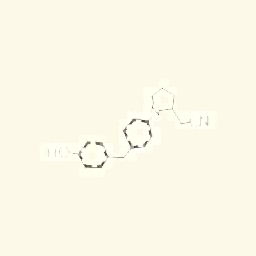 N#CCC1CCCN1c1ccc(Cc2ccc(O)cc2)cc1